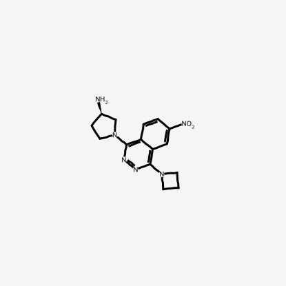 N[C@@H]1CCN(c2nnc(N3CCC3)c3cc([N+](=O)[O-])ccc23)C1